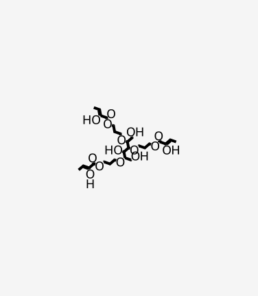 CC=C(O)C(=O)OCCCOC(CO)C(O)C(OCCCOC(=O)C(O)=CC)C(CO)OCCCOC(=O)C(O)=CC